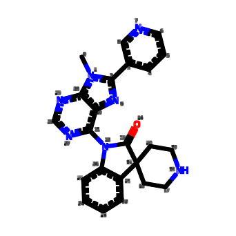 Cn1c(-c2cccnc2)nc2c(N3C(=O)C4(CCNCC4)c4ccccc43)ncnc21